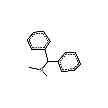 C[Si](C)C(c1ccccc1)c1ccccc1